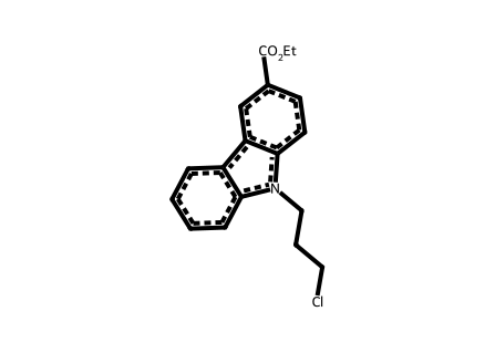 CCOC(=O)c1ccc2c(c1)c1ccccc1n2CCCCl